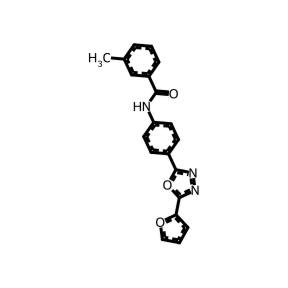 Cc1cccc(C(=O)Nc2ccc(-c3nnc(-c4ccco4)o3)cc2)c1